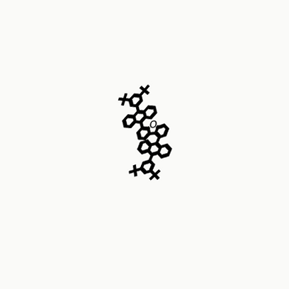 CC(C)(C)c1cc(-c2c3ccccc3c(-c3cccc4c3oc3cccc(-c5c6ccccc6c(-c6cc(C(C)(C)C)cc(C(C)(C)C)c6)c6ccccc56)c34)c3ccccc23)cc(C(C)(C)C)c1